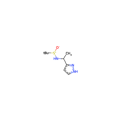 CC(N[S+]([O-])C(C)(C)C)c1cc[nH]n1